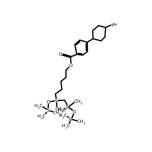 CCCC1CCC(c2ccc(C(=O)OCCCCC[Si](C)(C[Si](C)(C)O[Si](C)(C)C)O[Si](C)(C)C)cc2)CC1